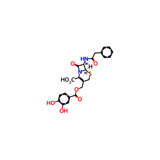 O=C(Cc1ccccc1)N[C@@H]1C(=O)N2C(C(=O)O)=C(COC(=O)c3ccc(O)c(O)c3)CS[C@H]12